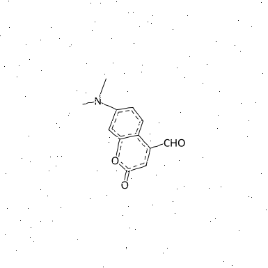 CN(C)c1ccc2c(C=O)cc(=O)oc2c1